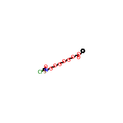 O=C(CCOCCOCCOCCOCCOCCOCCn1sc(Cl)cc1=O)OCc1ccccc1